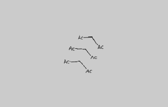 CC(=O)CC(C)=O.CC(=O)CC(C)=O.CC(=O)CC(C)=O